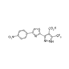 O=C(O)c1c(-c2nc(-c3ccc([N+](=O)[O-])cc3)cs2)n[nH]c1C(F)(F)F